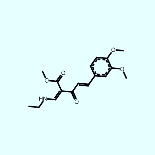 CCN/C=C(/C(=O)/C=C/c1ccc(OC)c(OC)c1)C(=O)OC